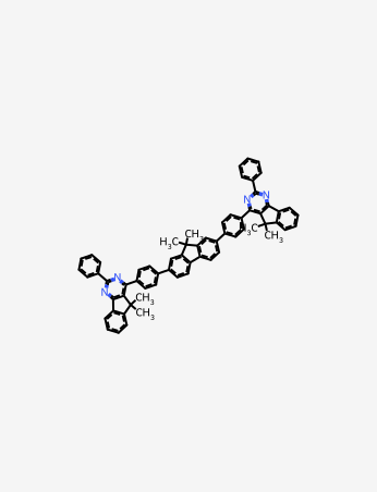 CC1(C)c2cc(-c3ccc(-c4nc(-c5ccccc5)nc5c4C(C)(C)c4ccccc4-5)cc3)ccc2-c2ccc(-c3ccc(-c4nc(-c5ccccc5)nc5c4C(C)(C)c4ccccc4-5)cc3)cc21